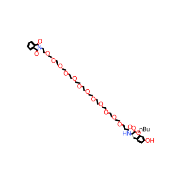 CCCCOC(=O)[C@H](Cc1ccc(O)cc1)NC(=O)CCOCCOCCOCCOCCOCCOCCOCCOCCOCCOCCOCCOCCN1C(=O)c2ccccc2C1=O